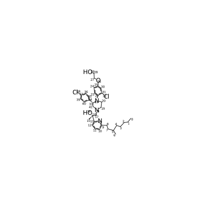 CCCCCC(C)CCc1cccc([C@](C)(O)CN2CCN(c3ccc(OCCO)cc3Cl)[C@H](c3ccc(Cl)cc3)C2)n1